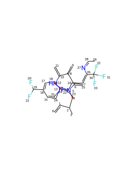 C=CC(C)CN(C(=C)C(=C)C(=C)NC(/C=C\C(=C/C)C(F)F)=C(/C)C/C=C(\N=C/C)C(F)(F)F)N(C)C